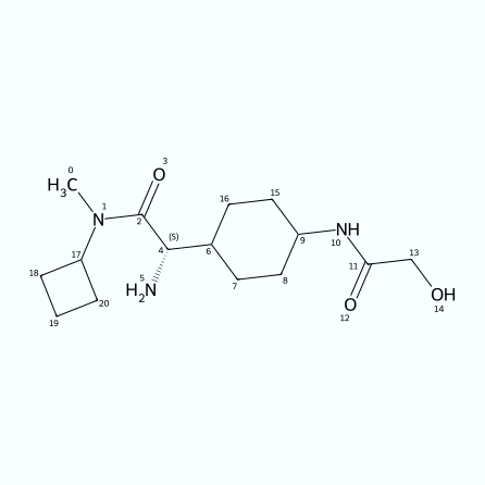 CN(C(=O)[C@@H](N)C1CCC(NC(=O)CO)CC1)C1CCC1